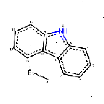 CCC.c1ccc2c(c1)[nH]c1ccccc12